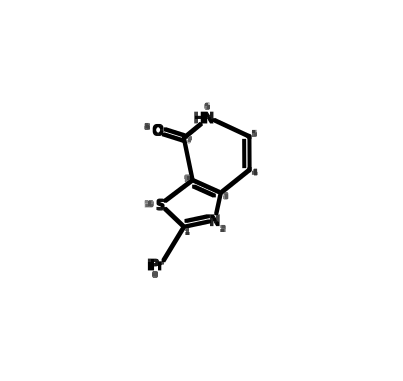 CC(C)c1nc2cc[nH]c(=O)c2s1